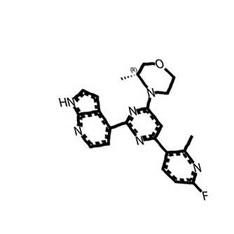 Cc1nc(F)ccc1-c1cc(N2CCOC[C@H]2C)nc(-c2ccnc3[nH]ccc23)n1